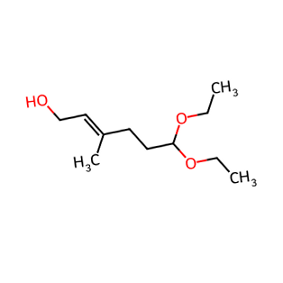 CCOC(CC/C(C)=C/CO)OCC